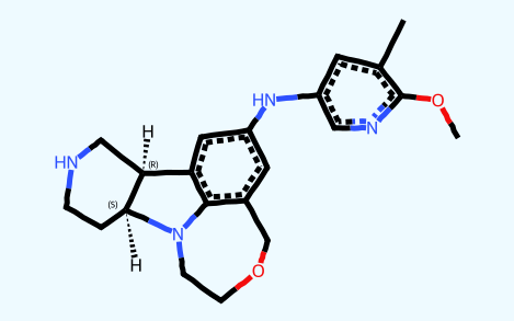 COc1ncc(Nc2cc3c4c(c2)[C@@H]2CNCC[C@@H]2N4CCOC3)cc1C